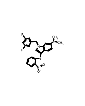 CN(C)c1ccc2c(Sc3ccccc3[N+](=O)[O-])cn(Cc3cc(F)cc(F)c3)c2c1